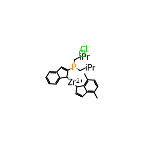 Cc1ccc(C)c2c1C=C[CH]2[Zr+2][CH]1C(P(CC(C)C)CC(C)C)=Cc2ccccc21.[Cl-].[Cl-]